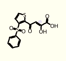 O=C(O)/C(O)=C/C(=O)c1sccc1S(=O)(=O)c1ccccc1